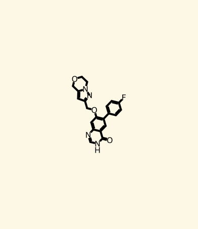 O=c1[nH]cnc2cc(OCc3cc4n(n3)CCOC4)c(-c3ccc(F)cc3)cc12